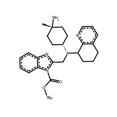 CC(C)(C)OC(=O)n1c(CN(C2CCCc3cccnc32)[C@H]2CC[C@@](C)(N)CC2)nc2ccccc21